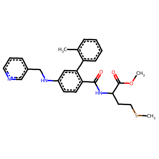 COC(=O)C(CCSC)NC(=O)c1ccc(NCc2cccnc2)cc1-c1ccccc1C